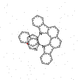 c1ccc(-n2c3ccccc3c3ccc4ccc5c6ccccc6n(-c6cncc7ccccc67)c5c4c32)cc1